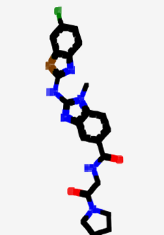 Cn1c(Nc2nc3ccc(Cl)cc3s2)nc2cc(C(=O)NCC(=O)N3CCCC3)ccc21